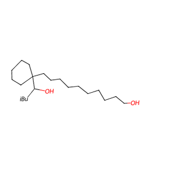 CCC(C)C(O)C1(CCCCCCCCCCO)CCCCC1